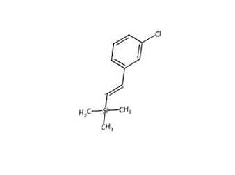 C[Si](C)(C)/[C]=C/c1cccc(Cl)c1